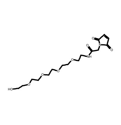 O=C(CN1C(=O)C=CC1=O)NCCOCCOCCOCCOCCO